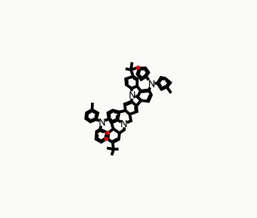 Cc1cccc(N(C2=C3C4C=C(C(C)(C)C)C=CC4N4C5=CC6c7ccc(N(c8ccccc8)c8cccc(C)c8)c8c7N(CC6C=C5C(C=C2)C34)CC2C=C(C(C)(C)C)C=CC82)c2ccccc2)c1